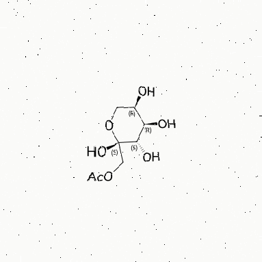 CC(=O)OC[C@]1(O)OC[C@@H](O)[C@@H](O)[C@@H]1O